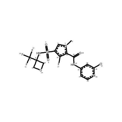 Cn1cc(S(=O)(=O)NC2(C(F)(F)F)COC2)c(F)c1C(=O)Nc1ccnc(Cl)c1